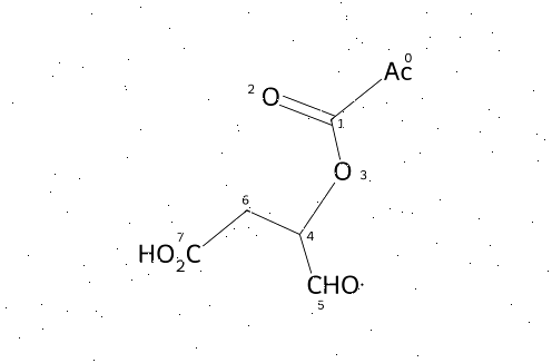 CC(=O)C(=O)OC([C]=O)CC(=O)O